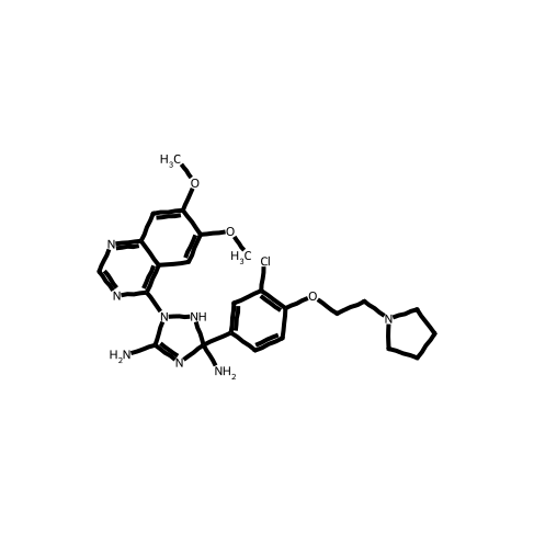 COc1cc2ncnc(N3NC(N)(c4ccc(OCCN5CCCC5)c(Cl)c4)N=C3N)c2cc1OC